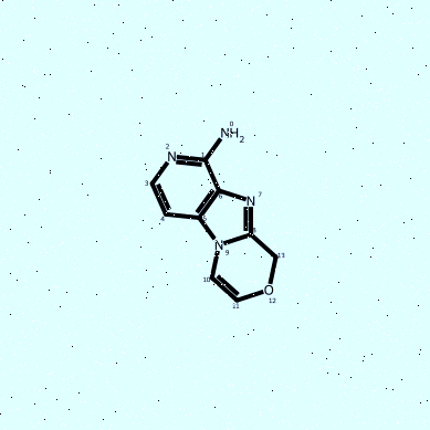 Nc1nccc2c1nc1n2C=COC1